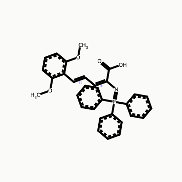 COc1cccc(OC)c1/C=C/C=C(/N=P(c1ccccc1)(c1ccccc1)c1ccccc1)C(=O)O